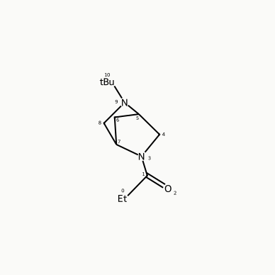 CCC(=O)N1CC2CC1CN2C(C)(C)C